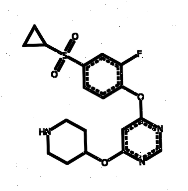 O=S(=O)(c1ccc(Oc2cc(OC3CCNCC3)ncn2)c(F)c1)C1CC1